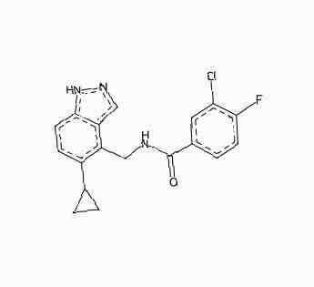 O=C(NCc1c(C2CC2)ccc2[nH]ncc12)c1ccc(F)c(Cl)c1